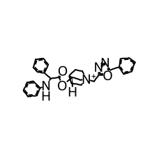 O=C(O[C@H]1C[N+]2(Cc3nnc(-c4ccccc4)o3)CCC1CC2)C(Nc1ccccc1)c1ccccc1